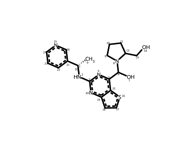 C[C@H](Nc1nc(C(O)N2CCCC2CO)c2sccc2n1)c1cccnc1